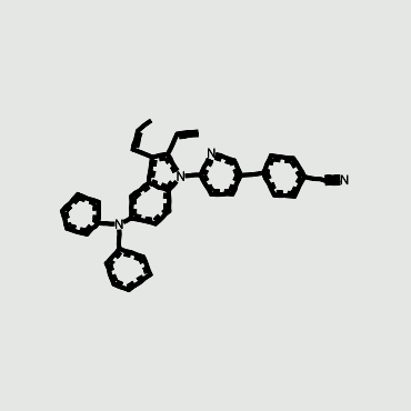 C=Cc1c(/C=C\C)c2cc(N(c3ccccc3)c3ccccc3)ccc2n1-c1ccc(-c2ccc(C#N)cc2)cn1